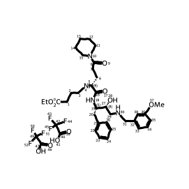 CCOC(=O)CCCN[C@H](CCC(=O)N1CCCCC1)C(=O)N[C@@H](Cc1ccccc1)[C@H](O)CNCc1cccc(OC)c1.O=C(O)C(F)(F)F.O=C(O)C(F)(F)F